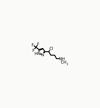 CNCCCC(Cl)c1cc(C(F)(F)F)[nH]n1